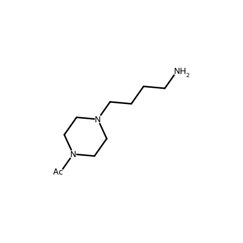 CC(=O)N1CCN(CCCCN)CC1